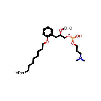 CCCCCCCCCCCCCCCCCCOc1ccccc1CC(COP(O)OCCCN(C)C)OC=O